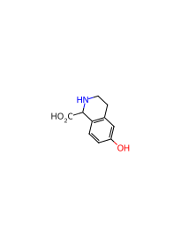 O=C(O)C1NCCc2cc(O)ccc21